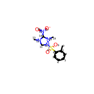 Cc1ccccc1S(=O)(=O)N1CN(C)C([N+](=O)[O-])N1C